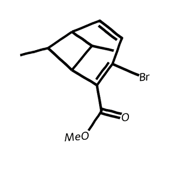 COC(=O)C1=C(Br)C=CC2C(C)C1C2C